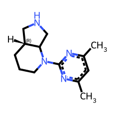 Cc1cc(C)nc(N2CCC[C@@H]3CNCC32)n1